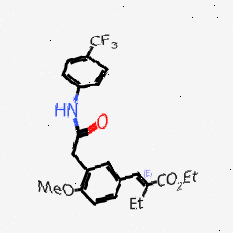 CCOC(=O)/C(=C/c1ccc(OC)c(CC(=O)Nc2ccc(C(F)(F)F)cc2)c1)CC